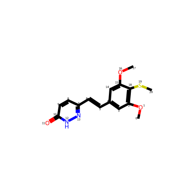 COc1cc(C=Cc2ccc(=O)[nH]n2)cc(OC)c1SC